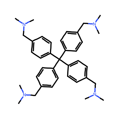 CN(C)Cc1ccc(C(c2ccc(CN(C)C)cc2)(c2ccc(CN(C)C)cc2)c2ccc(CN(C)C)cc2)cc1